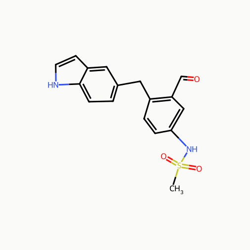 CS(=O)(=O)Nc1ccc(Cc2ccc3[nH]ccc3c2)c(C=O)c1